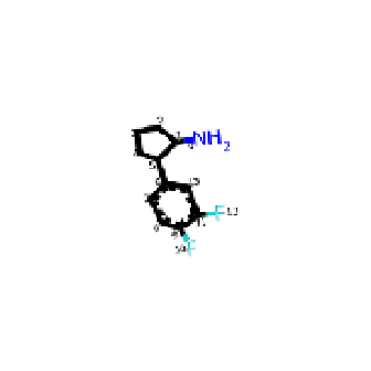 NC1CCCC1c1ccc(F)c(F)c1